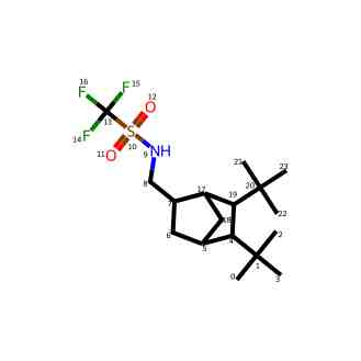 CC(C)(C)C1C2CC(CNS(=O)(=O)C(F)(F)F)C(C2)C1C(C)(C)C